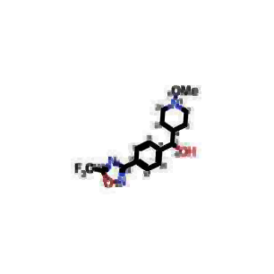 CON1CCC(C(O)c2ccc(-c3noc(C(F)(F)F)n3)cc2)CC1